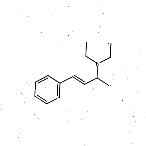 [CH2]C(C=Cc1ccccc1)N(CC)CC